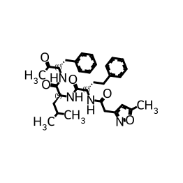 CC(=O)[C@H](Cc1ccccc1)NC(=O)[C@H](CC(C)C)NC(=O)[C@H](CCc1ccccc1)NC(=O)Cc1cc(C)on1